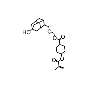 C=C(C)C(=O)OC1CCC(C(=O)OCOCC2C3CC4CC2CC(O)(C4)C3)CC1